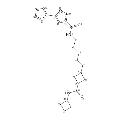 O=C(NCCCCCN1CC(C(=O)NC2CCC2)C1)c1cc(-c2cccs2)on1